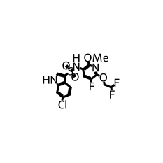 COc1nc(OCC(F)F)c(F)cc1NS(=O)(=O)c1c[nH]c2cc(Cl)ccc12